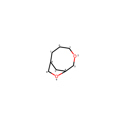 C1COCC2CC(C1)CO2